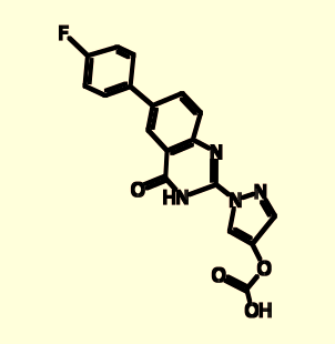 O=C(O)Oc1cnn(-c2nc3ccc(-c4ccc(F)cc4)cc3c(=O)[nH]2)c1